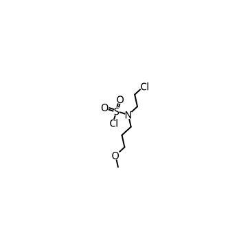 COCCCN(CCCl)S(=O)(=O)Cl